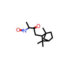 CC(N=O)C(=O)CC1C2(C)CCC(C2)C1(C)C